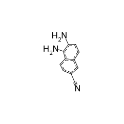 N#Cc1ccc2c(N)c(N)ccc2c1